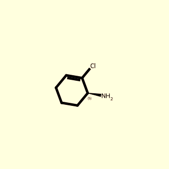 N[C@H]1CCCC=C1Cl